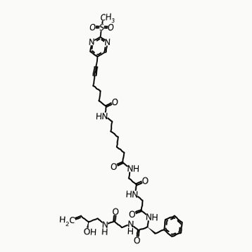 C=C[C@H](O)CNC(=O)CNC(=O)[C@H](Cc1ccccc1)NC(=O)CNC(=O)CNC(=O)CCCCCNC(=O)CCCC#Cc1cnc(S(C)(=O)=O)nc1